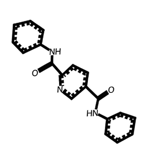 O=C(Nc1ccccc1)c1ccc(C(=O)Nc2ccccc2)nc1